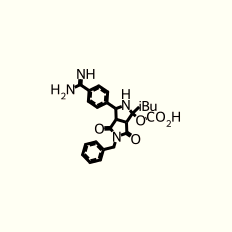 CCC(C)C1(OC(=O)O)NC(c2ccc(C(=N)N)cc2)C2C(=O)N(Cc3ccccc3)C(=O)C21